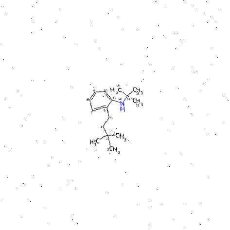 CC(C)(C)CCc1ccccc1NC(C)(C)C